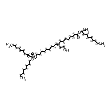 CCCCCCCCOP(=O)(OCCCCCCCC)OCCCCCCCCCN(CCO)CCCCCCCC(=O)OC(C)CCCCCCCC